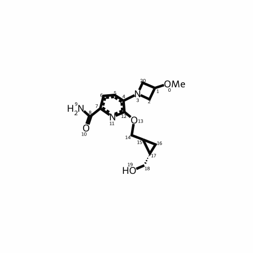 COC1CN(c2ccc(C(N)=O)nc2OCC2C[C@@H]2CO)C1